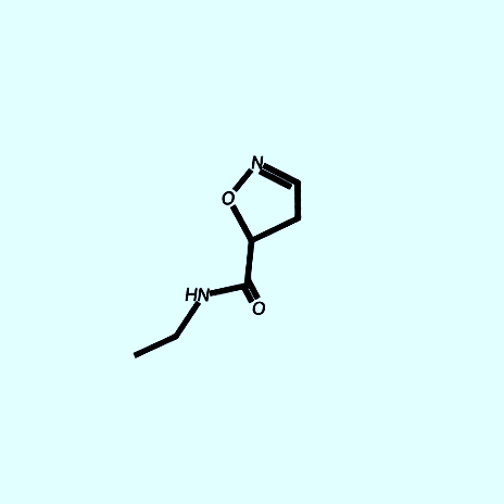 CCNC(=O)C1CC=NO1